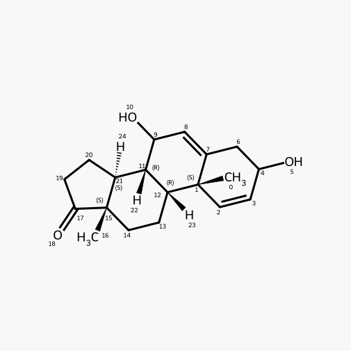 C[C@]12C=CC(O)CC1=CC(O)[C@@H]1[C@H]2CC[C@]2(C)C(=O)CC[C@@H]12